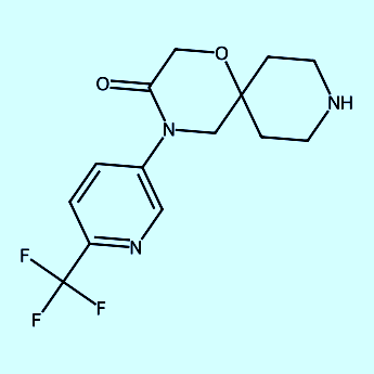 O=C1COC2(CCNCC2)CN1c1ccc(C(F)(F)F)nc1